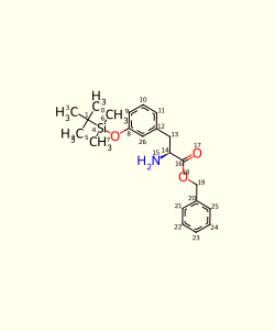 CC(C)(C)[Si](C)(C)Oc1cccc(C[C@H](N)C(=O)OCc2ccccc2)c1